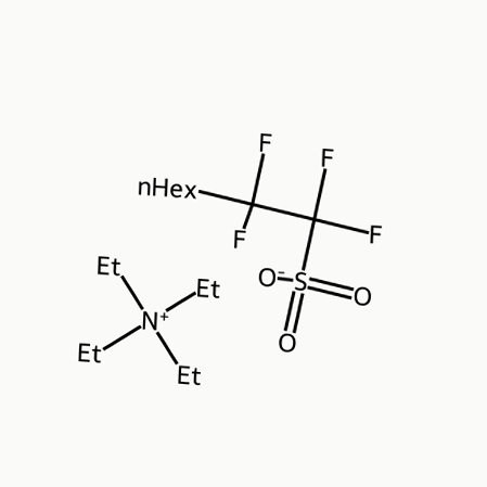 CCCCCCC(F)(F)C(F)(F)S(=O)(=O)[O-].CC[N+](CC)(CC)CC